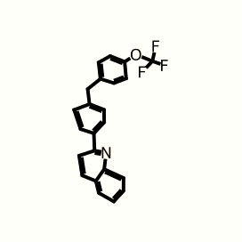 FC(F)(F)Oc1ccc(Cc2ccc(-c3ccc4ccccc4n3)cc2)cc1